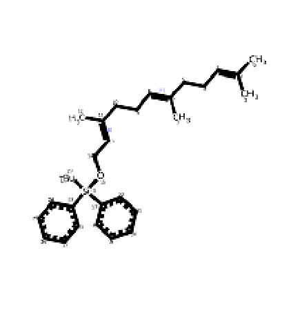 CC(C)=CCC/C(C)=C/CC/C(C)=C/CO[Si](c1ccccc1)(c1ccccc1)C(C)(C)C